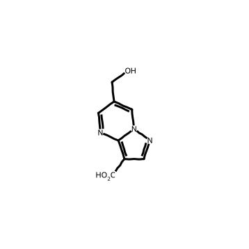 O=C(O)c1cnn2cc(CO)cnc12